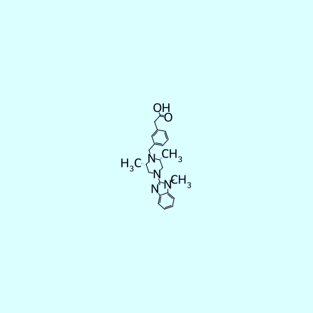 C[C@@H]1CN(c2nc3ccccc3n2C)C[C@H](C)N1Cc1cccc(CC(=O)O)c1